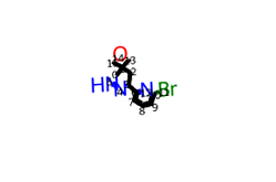 CC1(CC(N=N)c2cccc(Br)n2)COC1